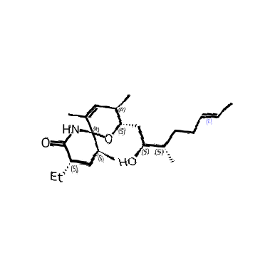 C/C=C/CC[C@H](C)[C@@H](O)C[C@@H]1O[C@@]2(NC(=O)[C@@H](CC)C[C@@H]2C)C(C)=C[C@H]1C